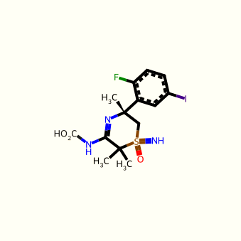 CC1(C)C(NC(=O)O)=N[C@](C)(c2cc(I)ccc2F)CS1(=N)=O